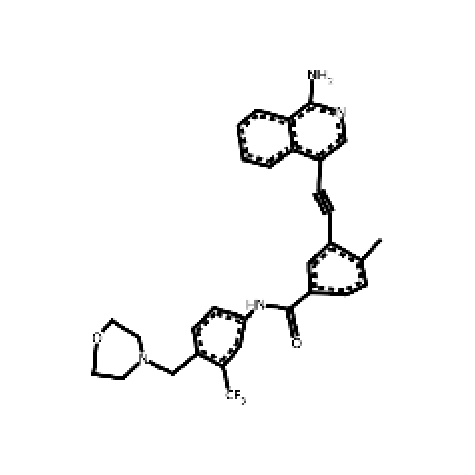 Cc1ccc(C(=O)Nc2ccc(CN3CCOCC3)c(C(F)(F)F)c2)cc1C#Cc1cnc(N)c2ccccc12